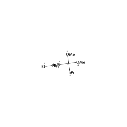 CCCC([SiH3])(OC)OC.CCN